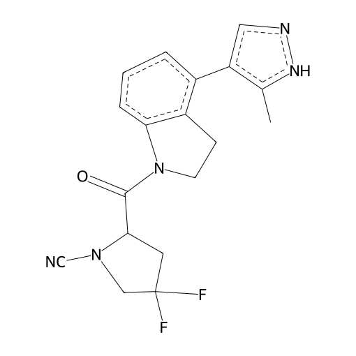 Cc1[nH]ncc1-c1cccc2c1CCN2C(=O)C1CC(F)(F)CN1C#N